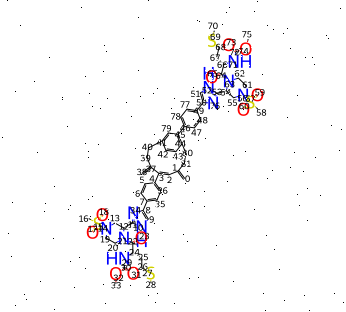 C=C1/C=C(/c2ccc(-c3c[nH]c([C@@H]4CN(S(C)(=O)=O)CCN4C(=O)[C@H](CCSC)NC(=O)OC)n3)cc2)C(=C)CCc2ccc(c(-c3ccc(-c4c[nH]c([C@@H]5CN(S(C)(=O)=O)CCN5C(=O)[C@H](CCSC)NC(=O)OC)n4)cc3)c2)CC1